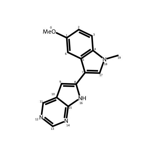 COc1ccc2c(c1)c(-c1cc3cncnc3[nH]1)cn2C